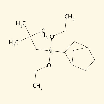 CCO[Si](CC(C)(C)C)(OCC)C1CC2CCC1C2